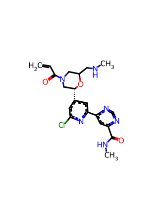 C=CC(=O)N1CC(CNC)O[C@H](c2cc(Cl)nc(-c3cc(C(=O)NC)ncn3)c2)C1